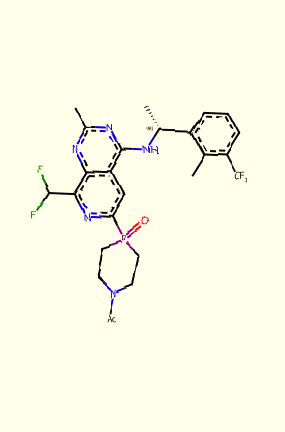 CC(=O)N1CCP(=O)(c2cc3c(N[C@H](C)c4cccc(C(F)(F)F)c4C)nc(C)nc3c(C(F)F)n2)CC1